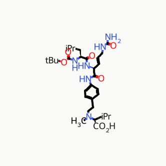 CC(C)C[C@H](NC(=O)OC(C)(C)C)C(=O)N[C@@H](/C=C/CNC(N)=O)C(=O)Nc1ccc(CCN(C)[C@H](C(=O)O)C(C)C)cc1